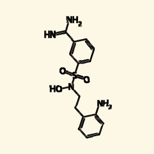 N=C(N)c1cccc(S(=O)(=O)N(O)CCc2ccccc2N)c1